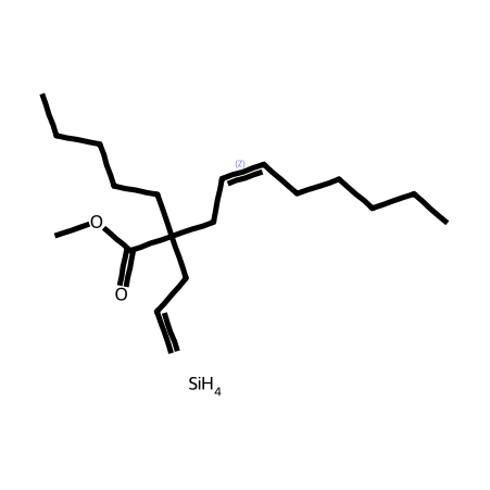 C=CCC(C/C=C\CCCCC)(CCCCC)C(=O)OC.[SiH4]